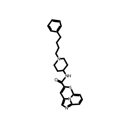 O=C(NC1CCN(CCCCc2ccccc2)CC1)C1=Cc2cnc3cccc(n23)S1